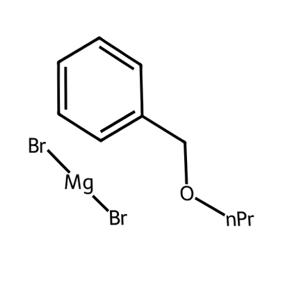 [Br][Mg][Br].[CH2]CCOCc1ccccc1